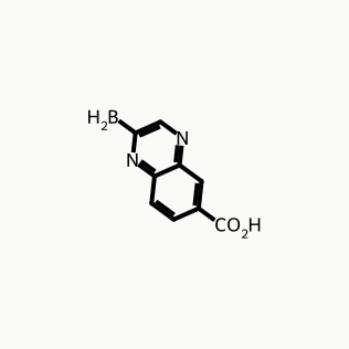 Bc1cnc2cc(C(=O)O)ccc2n1